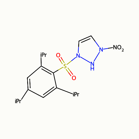 CC(C)c1cc(C(C)C)c(S(=O)(=O)N2C=CN([N+](=O)[O-])N2)c(C(C)C)c1